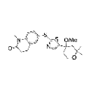 COC1(c2cnc(Sc3ccc4c(c3)CCC(=O)N4C)s2)CCOC(C)(C)C1